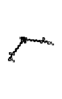 CC=CC(=O)OCCCCCCCCOP(=O)(O)OCCCCCCCCOC(=O)C=CC